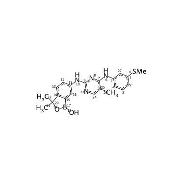 CSc1cccc(Nc2nc(Nc3ccc4c(c3)B(O)OC4(C)C)ncc2C)c1